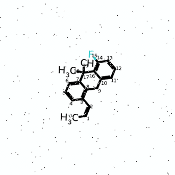 C/C=C\c1cccc2c1Cc1cccc(F)c1C2(C)C